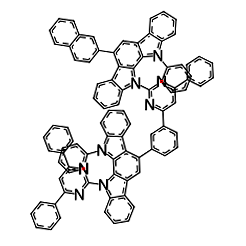 c1ccc(-c2cc(-c3ccccc3)nc(-n3c4ccccc4c4cc(-c5cccc(-c6cc(-c7ccccc7)nc(-n7c8ccccc8c8c(-c9ccc%10ccccc%10c9)cc9c%10ccccc%10n(-c%10ccccc%10)c9c87)n6)c5)c5c6ccccc6n(-c6ccccn6)c5c43)n2)cc1